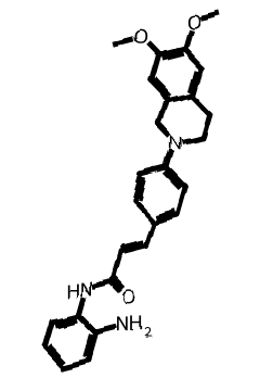 COc1cc2c(cc1OC)CN(c1ccc(C=CC(=O)Nc3ccccc3N)cc1)CC2